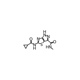 CNC(=O)c1n[nH]c2nc(NC(=O)C3CC3)sc12